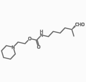 C[C@H](C=O)CCCCNC(=O)OCCN1CCCCC1